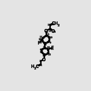 C=CCOc1ccc(-c2ccc(OC(=O)C=C)cc2F)c(F)c1